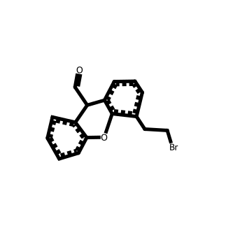 O=CC1c2ccccc2Oc2c(CCBr)cccc21